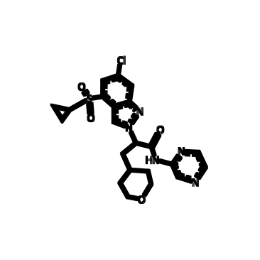 O=C(Nc1cnccn1)C(CC1CCOCC1)n1cc2c(S(=O)(=O)C3CC3)cc(Cl)cc2n1